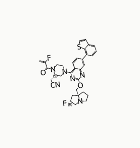 C=C(F)C(=O)N1CCN(c2nc(OCC34CCCN3C[C@H](F)C4)nc3cc(-c4cccc5ccsc45)ccc23)C[C@@H]1CC#N